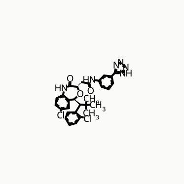 CC(C)(C)C(c1ccccc1Cl)[C@@H]1O[C@@H](CC(=O)Nc2cccc(-c3nnn[nH]3)c2)C(=O)Nc2ccc(Cl)cc21